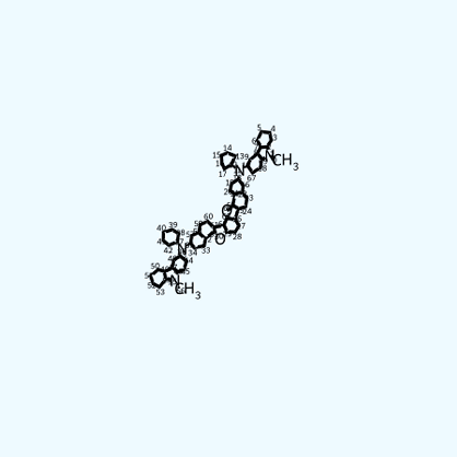 Cn1c2ccccc2c2cc(N(c3ccccc3)c3ccc4c(ccc5c6ccc7oc8c9ccc(N(c%10ccccc%10)c%10ccc%11c(c%10)c%10ccccc%10n%11C)cc9ccc8c7c6oc45)c3)ccc21